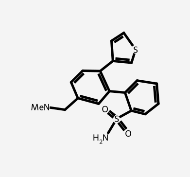 CNCc1ccc(-c2ccsc2)c(-c2ccccc2S(N)(=O)=O)c1